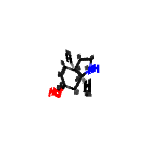 O[C@H]1CC[C@H]2CCN[C@H]2C1